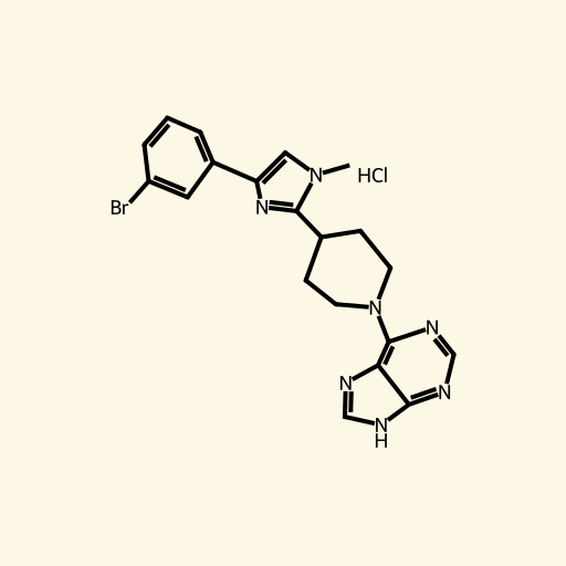 Cl.Cn1cc(-c2cccc(Br)c2)nc1C1CCN(c2ncnc3[nH]cnc23)CC1